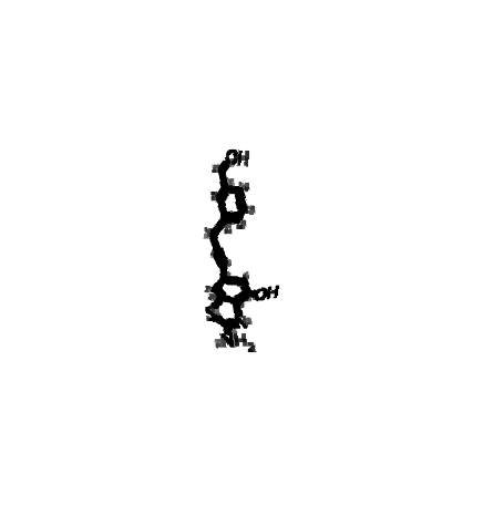 Nc1nc2c(O)cc(C#CCc3cccc(CO)c3)cc2s1